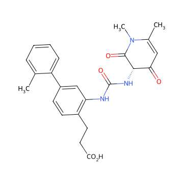 CC1=CC(=O)[C@H](NC(=O)Nc2cc(-c3ccccc3C)ccc2CCC(=O)O)C(=O)N1C